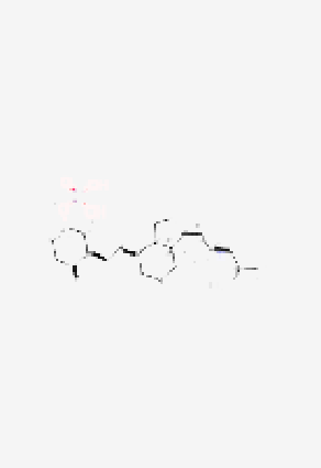 C=C1CC[C@H](OP(=O)(O)O)CC1=CC=C1CCC[C@@]2(C)C1CC[C@@H]2[C@H](C)/C=C/[C@H](C)C(C)C